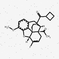 COc1ccc2c3c1O[C@H]1C(F)=CC[C@@]4(C(C)=O)[C@@H](C2)N(C(=O)C2CCC2)CC[C@]314